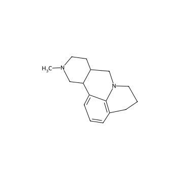 CN1CCC2CN3CCCc4cccc(c43)C2C1